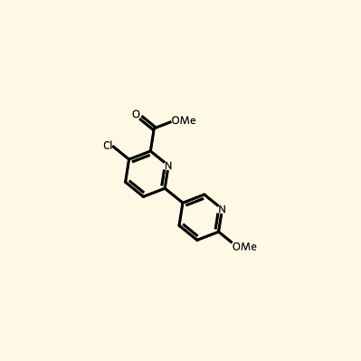 COC(=O)c1nc(-c2ccc(OC)nc2)ccc1Cl